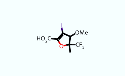 COC1C(I)=C(C(=O)O)OC1(C)C(F)(F)F